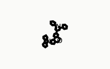 c1ccc(-c2cc(-c3ccc4c(c3)COCc3ccc(-n5c6ccccc6c6ccccc65)cc3-4)cc(-c3ccccc3)n2)cc1